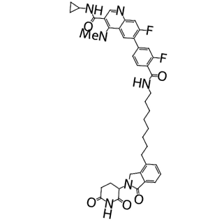 CNc1c(C(=O)NC2CC2)cnc2cc(F)c(-c3ccc(C(=O)NCCCCCCCCc4cccc5c4CN(C4CCC(=O)NC4=O)C5=O)c(F)c3)cc12